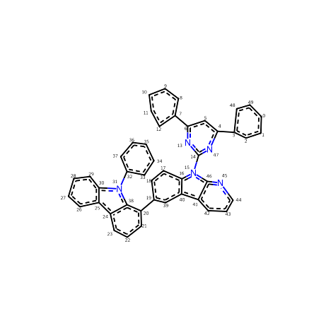 c1ccc(-c2cc(-c3ccccc3)nc(-n3c4ccc(-c5cccc6c7ccccc7n(-c7ccccc7)c56)cc4c4cccnc43)n2)cc1